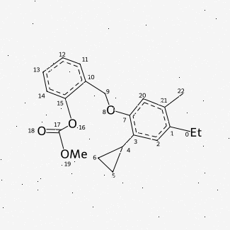 CCc1cc(C2CC2)c(OCc2ccccc2OC(=O)OC)cc1C